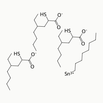 CCCCC(CC)CC(S)C(=O)[O-].CCCCC(CC)CC(S)C(=O)[O-].CCCCC(CC)CC(S)C(=O)[O-].CCCCCCC[CH2][Sn+3]